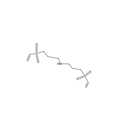 C=CS(=O)(=O)CCCNCCCS(=O)(=O)C=C